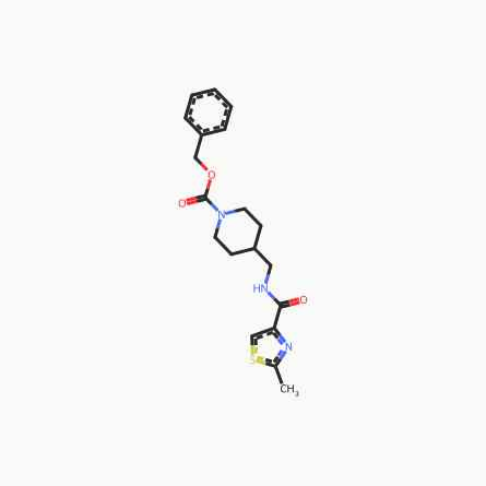 Cc1nc(C(=O)NCC2CCN(C(=O)OCc3ccccc3)CC2)cs1